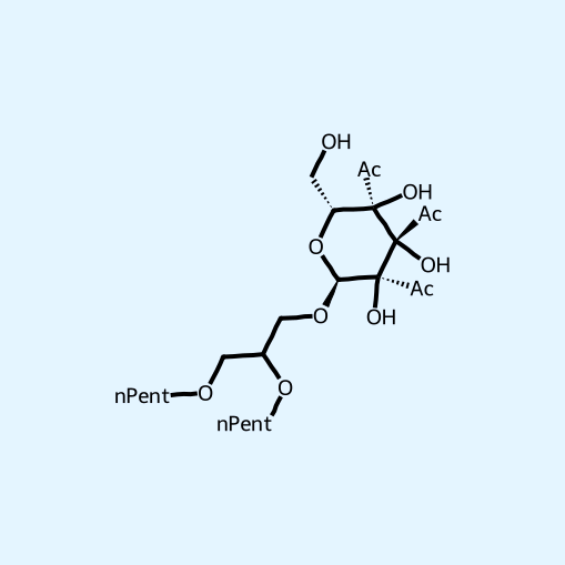 CCCCCOCC(CO[C@H]1O[C@H](CO)[C@](O)(C(C)=O)[C@@](O)(C(C)=O)[C@]1(O)C(C)=O)OCCCCC